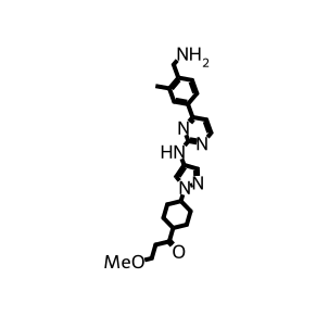 COCCC(=O)C1CCC(n2cc(Nc3nccc(-c4ccc(CN)c(C)c4)n3)cn2)CC1